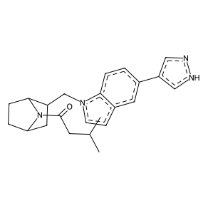 CC(C)CC(=O)N1C2CCC1C(Cn1ccc3cc(-c4cn[nH]c4)ccc31)C2